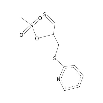 CS(=O)(=O)OC(C=S)CSc1ccccn1